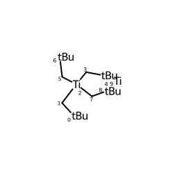 CC(C)(C)[CH2][Ti]([CH2]C(C)(C)C)([CH2]C(C)(C)C)[CH2]C(C)(C)C.[Ti]